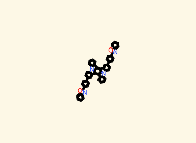 c1ccc2oc(-c3ccc(-c4ccc5c(c4)c4c6c7ccccc7n7c8ccc(-c9ccc(-c%10nc%11ccccc%11o%10)cc9)cc8c(c8c9ccccc9n5c84)c67)cc3)nc2c1